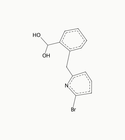 OC(O)c1ccccc1Cc1cccc(Br)n1